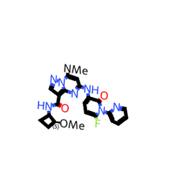 CNc1cc(Nc2ccc(F)n(-c3ccccn3)c2=O)nc2c(C(=O)NC3CC[C@@H]3OC)cnn12